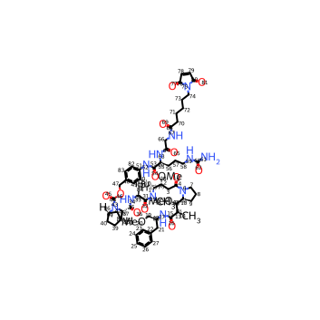 CC[C@H](C)[C@@H]([C@@H](CC(=O)N1CCC[C@H]1[C@H](OC)[C@@H](C)C(=O)N[C@H](COC)Cc1ccccc1)OC)N(C)C(=O)[C@@H](NC(=O)[C@@H]1[C@H]2CC[C@H](C2)N1C(=O)OCc1ccc(NC(=O)[C@H](CCCNC(N)=O)NC(=O)CNC(=O)CCCCCN2C(=O)C=CC2=O)cc1)C(C)C